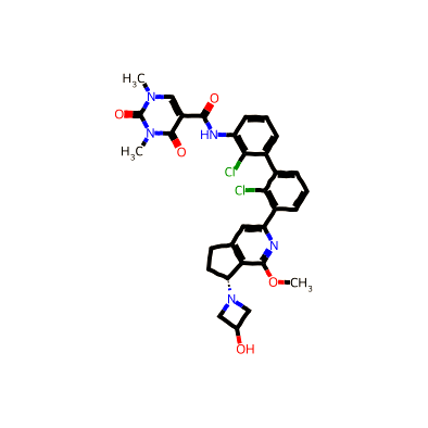 COc1nc(-c2cccc(-c3cccc(NC(=O)c4cn(C)c(=O)n(C)c4=O)c3Cl)c2Cl)cc2c1[C@H](N1CC(O)C1)CC2